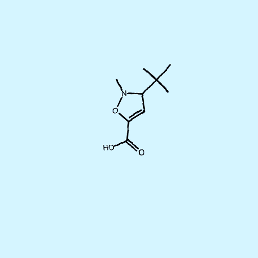 CN1OC(C(=O)O)=CC1C(C)(C)C